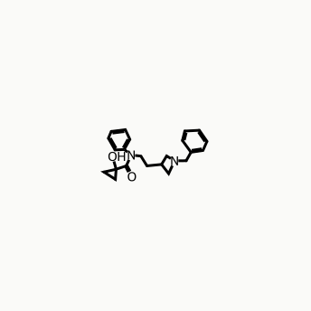 O=C(N(CCC1CN(Cc2ccccc2)C1)c1ccccc1)C1(O)CC1